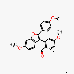 COc1ccc(-c2oc3cc(OC)ccc3c2-c2cc(OC)ccc2C=O)cc1